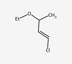 [CH2]COC(C)C=CCl